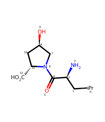 CC(C)C[C@H](N)C(=O)N1C[C@H](O)C[C@H]1C(=O)O